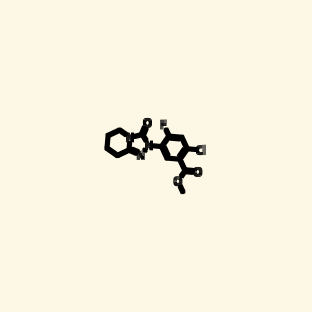 COC(=O)c1cc(-n2nc3n(c2=O)CCCC3)c(F)cc1Cl